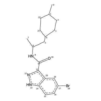 CC1CCC(CC(C)NC(=O)c2n[nH]c3ccc(Br)cc23)CC1